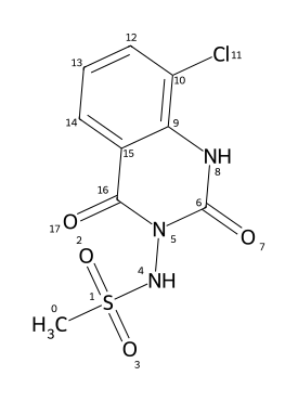 CS(=O)(=O)Nn1c(=O)[nH]c2c(Cl)cccc2c1=O